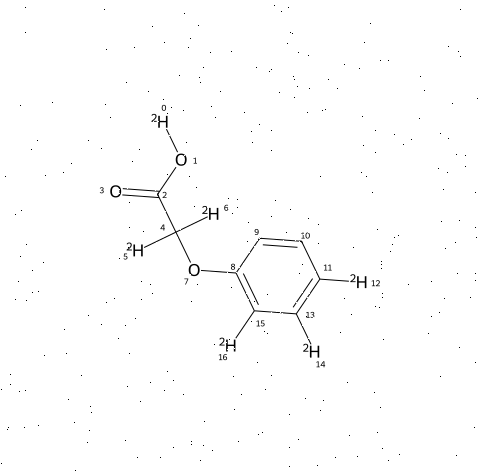 [2H]OC(=O)C([2H])([2H])Oc1ccc([2H])c([2H])c1[2H]